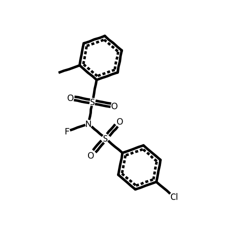 Cc1ccccc1S(=O)(=O)N(F)S(=O)(=O)c1ccc(Cl)cc1